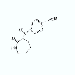 N#Cc1ccc([S+]([O-])C2CCCCNC2=O)cc1